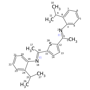 C/C(=N\c1ccccc1C(C)C)c1ccc(/C(C)=N/c2ccccc2C(C)C)s1